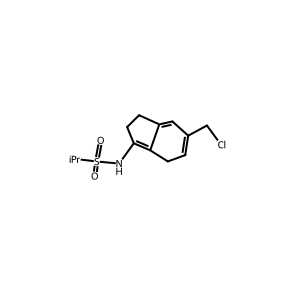 CC(C)S(=O)(=O)NC1=C2CC=C(CCl)C=C2CC1